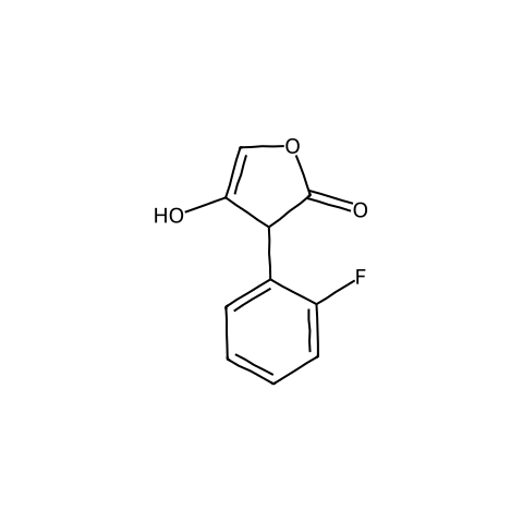 O=C1OC=C(O)C1c1ccccc1F